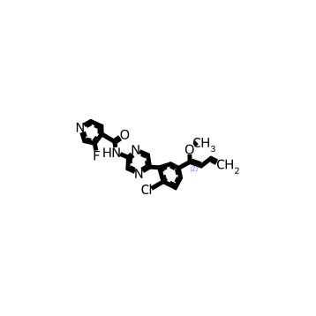 C=C/C=C(\OC)c1ccc(Cl)c(-c2cnc(NC(=O)c3ccncc3F)cn2)c1